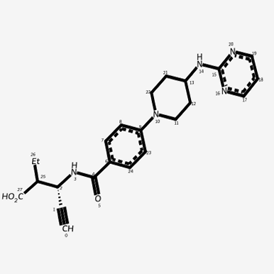 C#C[C@@H](NC(=O)c1ccc(N2CCC(Nc3ncccn3)CC2)cc1)C(CC)C(=O)O